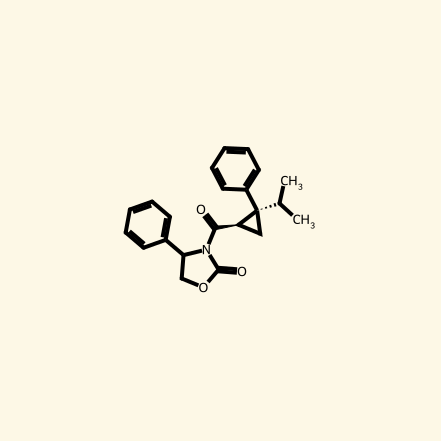 CC(C)[C@]1(c2ccccc2)C[C@H]1C(=O)N1C(=O)OCC1c1ccccc1